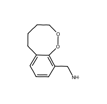 [NH]Cc1cccc2c1OOCCCC2